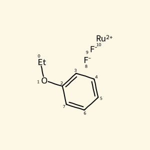 CCOc1ccccc1.[F-].[F-].[Ru+2]